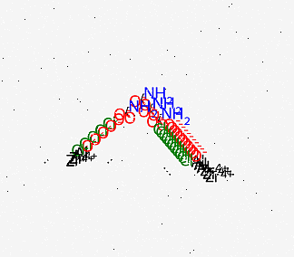 NCC(=O)[O-].NCC(=O)[O-].NCC(=O)[O-].NCC(=O)[O-].[Al].[Al].[Al].[Al].[Al].[O-]Cl.[O-]Cl.[O-]Cl.[O-]Cl.[O-]Cl.[O-]Cl.[O-]Cl.[O-]Cl.[O-]Cl.[O-]Cl.[O-]Cl.[O-]Cl.[O-]Cl.[O-]Cl.[O-]Cl.[O-]Cl.[Zr+4].[Zr+4].[Zr+4].[Zr+4].[Zr+4]